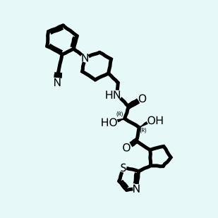 N#Cc1ccccc1N1CCC(CNC(=O)[C@H](O)[C@@H](O)C(=O)C2CCCC2c2nccs2)CC1